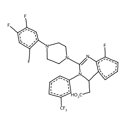 O=C(O)CC1c2cccc(F)c2N=C(N2CCN(c3cc(F)c(F)cc3F)CC2)N1c1cccc(C(F)(F)F)c1